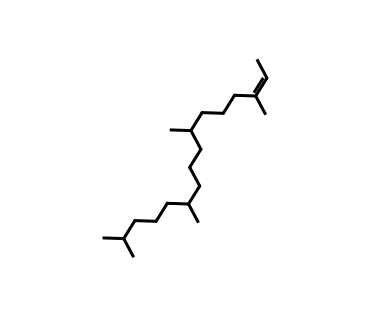 CC=C(C)CCCC(C)CCCC(C)CCCC(C)C